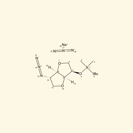 CC(C)(C)[Si](C)(C)O[C@@H]1CO[C@H]2[C@@H]1OC[C@@H]2N=[N+]=[N-].[N-]=[N+]=[N-].[Na+]